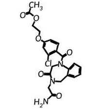 CC(=O)OCCOc1ccc(C(=O)N2CC(=O)N(CC(N)=O)Cc3ccccc32)c(Cl)c1